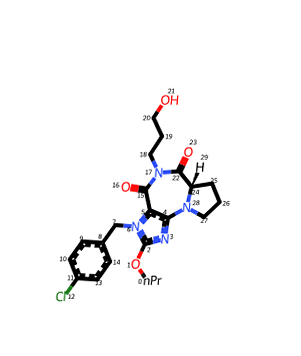 CCCOc1nc2c(n1Cc1ccc(Cl)cc1)C(=O)N(CCCO)C(=O)[C@@H]1CCCN21